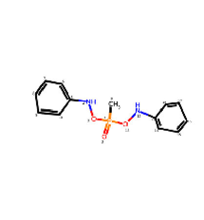 CP(=O)(ONc1ccccc1)ONc1ccccc1